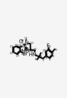 Cc1ccc(CC(C)(C)NC[C@@H](O)CN(C)S(=O)(=O)c2ccccc2Br)cc1F